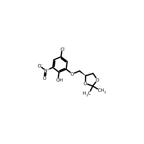 CC1(C)OC[C@H](COc2cc(Cl)cc([N+](=O)[O-])c2O)O1